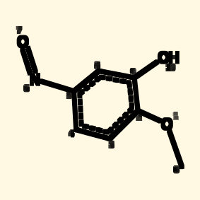 COc1ccc(N=O)cc1O